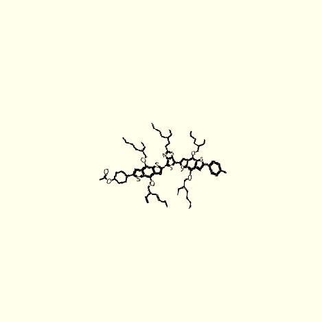 CCCCC(CC)CCc1nc2c(-c3cc4c(OCC(CC)CCCC)c5sc(C6CCC(OC(C)=O)CC6)cc5c(OCC(CC)CCCC)c4s3)sc(-c3cc4c(OCC(CC)CCCC)c5sc(-c6ccc(C)cc6)cc5c(OCC(CC)CCCC)c4s3)c2s1